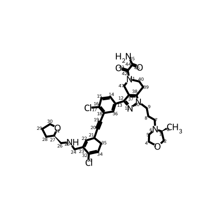 C[C@H]1COCCN1CCCn1nc(-c2ccc(Cl)c(C#CC3C=C(CNC[C@H]4CCCO4)C(Cl)=CC3)c2)c2c1CCN(C(=O)C(N)=O)C2